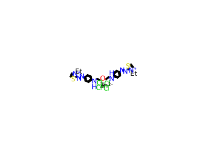 CC[n+]1ccsc1/N=N/c1ccc(NCCOCCNc2ccc(/N=N/c3scc[n+]3CC)cc2)cc1.[Cl][Zn-2]([Cl])([Cl])[Cl]